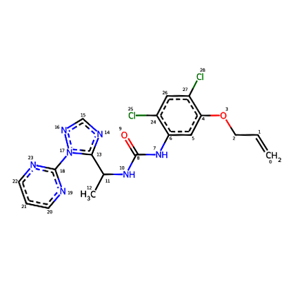 C=CCOc1cc(NC(=O)NC(C)c2ncnn2-c2ncccn2)c(Cl)cc1Cl